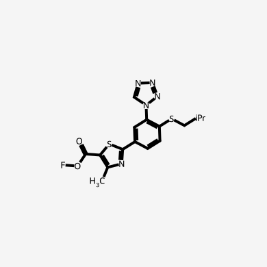 Cc1nc(-c2ccc(SCC(C)C)c(-n3cnnn3)c2)sc1C(=O)OF